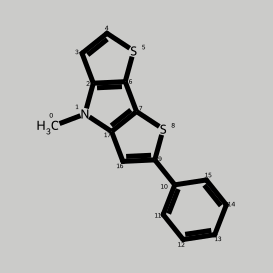 Cn1c2ccsc2c2sc(-c3ccccc3)cc21